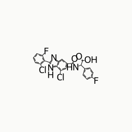 O=C(NC(C(=O)O)c1ccc(F)cc1)c1cc(Cl)c2[nH]c(-c3c(F)cccc3Cl)nc2c1